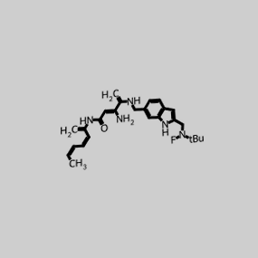 C=C(/C=C\C=C/C)NC(=O)/C=C(\N)C(=C)NCc1ccc2cc(CN(F)C(C)(C)C)[nH]c2c1